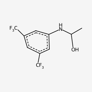 CC(O)Nc1cc(C(F)(F)F)cc(C(F)(F)F)c1